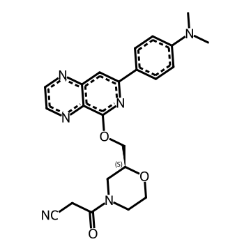 CN(C)c1ccc(-c2cc3nccnc3c(OC[C@@H]3CN(C(=O)CC#N)CCO3)n2)cc1